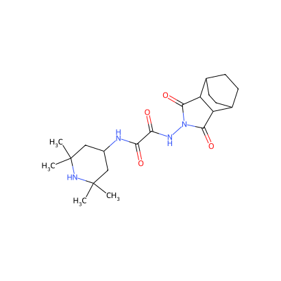 CC1(C)CC(NC(=O)C(=O)NN2C(=O)C3C4CCC(CC4)C3C2=O)CC(C)(C)N1